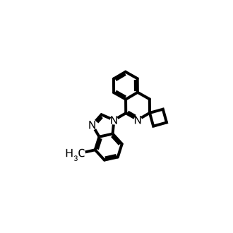 Cc1cccc2c1ncn2C1=NC2(CCC2)Cc2ccccc21